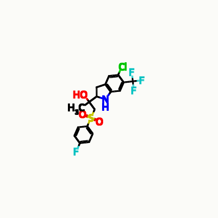 CC(O)(CS(=O)(=O)c1ccc(F)cc1)C1Cc2cc(Cl)c(C(F)(F)F)cc2N1